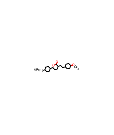 CCCCCC1CCC(C2CCC(CCC3CCC(OC(F)(F)F)CC3)C(=O)O2)CC1